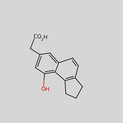 O=C(O)Cc1cc(O)c2c3c(ccc2c1)CCC3